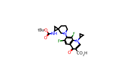 CC(C)(C)OC(=O)NC1CC12CCCN(c1c(F)cc3c(=O)c(C(=O)O)cn(C4CC4)c3c1F)C2